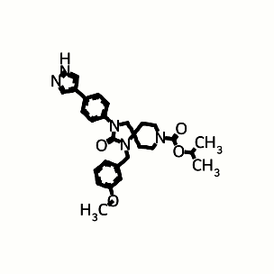 COc1cccc(CN2C(=O)N(c3ccc(-c4cn[nH]c4)cc3)CC23CCN(C(=O)OC(C)C)CC3)c1